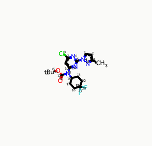 Cc1ccn(-c2nc(Cl)cc(N(C(=O)OC(C)(C)C)C3CCC(F)(F)CC3)n2)n1